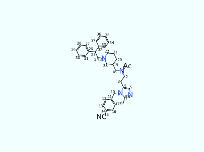 CC(=O)N(CCc1cnc(C)n1Cc1ccc(C#N)cc1)CC1CCCN(CC(c2ccccc2)c2ccccc2)C1